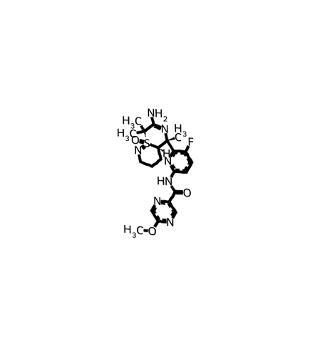 COc1cnc(C(=O)Nc2ccc(F)c([C@@]3(C)N=C(N)C(C)(C)[S@@]4(=O)=NCCC[C@H]34)n2)cn1